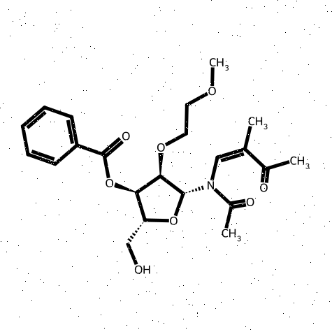 COCCO[C@@H]1[C@H](OC(=O)c2ccccc2)[C@@H](CO)O[C@H]1N(/C=C(/C)C(C)=O)C(C)=O